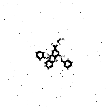 CCOC(=O)c1cc(NCc2ccccc2)c(Nc2ccccc2)c(S(=O)(=O)Nc2ccccc2)c1